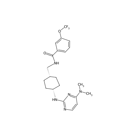 CN(C)c1ccnc(N[C@H]2CC[C@@H](CNC(=O)c3cccc(OC(F)(F)F)c3)CC2)n1